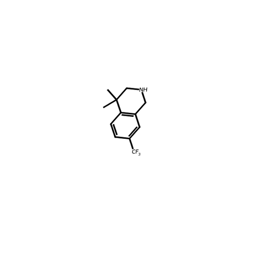 CC1(C)CNCc2cc(C(F)(F)F)ccc21